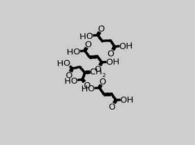 C=C(CC(=O)O)C(=O)O.O=C(O)C=CC(=O)O.O=C(O)C=CC(=O)O.O=C(O)CCC(=O)O